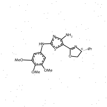 COc1cc(Nc2nc(N)c(C3=N[C@H](C(C)C)CO3)s2)cc(OC)c1OC